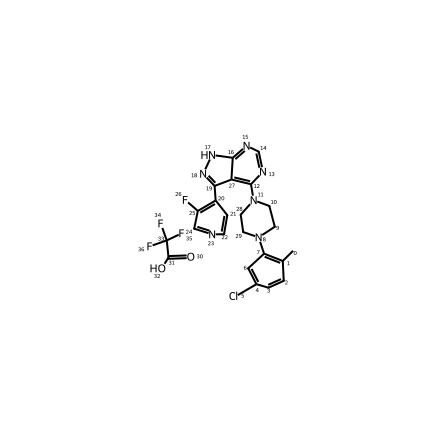 Cc1ccc(Cl)cc1N1CCN(c2ncnc3[nH]nc(-c4ccncc4F)c23)CC1.O=C(O)C(F)(F)F